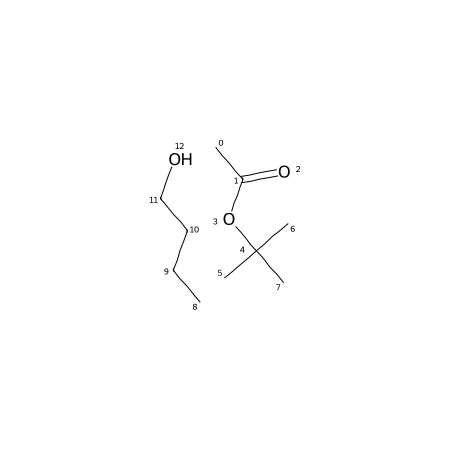 CC(=O)OC(C)(C)C.CCCCO